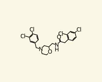 O=C(Cc1ccc(Cl)cc1Cl)NCC1CN(Cc2ccc(Cl)c(Cl)c2)CCO1